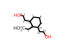 O=C(O)CC1C(CCO)C[CH]CC1CCO